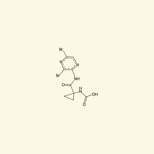 O=C(O)NC1(C(=O)Nc2ncc(Br)nc2Br)CC1